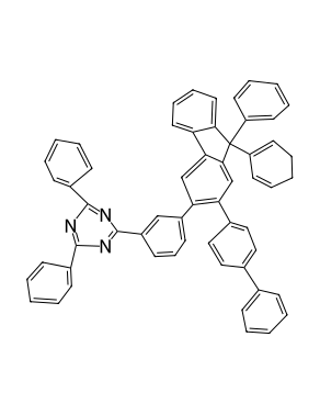 C1=CC(C2(c3ccccc3)c3ccccc3-c3cc(-c4cccc(-c5nc(-c6ccccc6)nc(-c6ccccc6)n5)c4)c(-c4ccc(-c5ccccc5)cc4)cc32)=CCC1